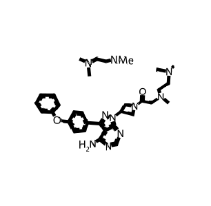 CN(C)CCN(C)CC(=O)N1CC(n2nc(-c3ccc(Oc4ccccc4)cc3)c3c(N)ncnc32)C1.CNCCN(C)C